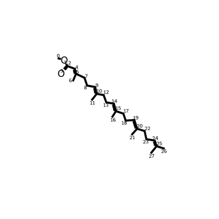 COC(=O)/C=C(\C)CC/C=C(\C)CC/C=C(\C)CC/C=C(\C)CCC=C(C)C